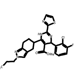 COC(=O)C1=C(C2CCc3nn(CCC(=O)O)cc3C2)NC(c2nccs2)=NC1c1cccc(F)c1Cl